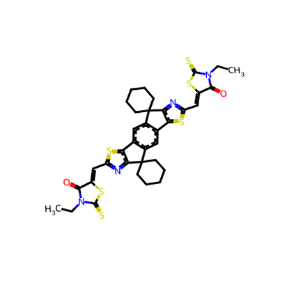 CCN1C(=O)/C(=C/c2nc3c(s2)-c2cc4c(cc2C32CCCCC2)-c2sc(/C=C3\SC(=S)N(CC)C3=O)nc2C42CCCCC2)SC1=S